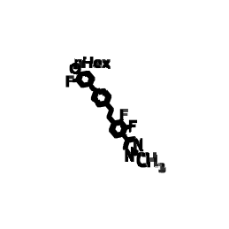 CCCCCCOc1ccc(-c2ccc(CCc3ccc(-c4cnc(C)nc4)c(F)c3F)cc2)cc1F